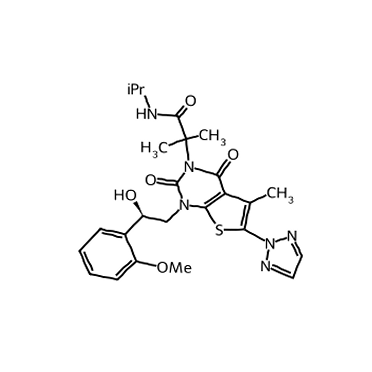 COc1ccccc1[C@@H](O)Cn1c(=O)n(C(C)(C)C(=O)NC(C)C)c(=O)c2c(C)c(-n3nccn3)sc21